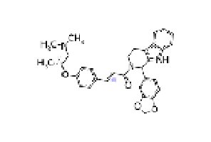 C[C@H](CN(C)C)Oc1ccc(/C=C/C(=O)N2CCc3c([nH]c4ccccc34)C2c2ccc3c(c2)OCO3)cc1